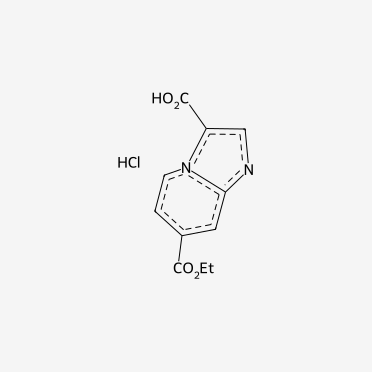 CCOC(=O)c1ccn2c(C(=O)O)cnc2c1.Cl